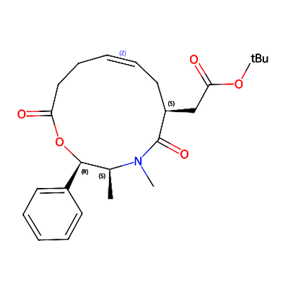 C[C@H]1[C@@H](c2ccccc2)OC(=O)CC/C=C\C[C@@H](CC(=O)OC(C)(C)C)C(=O)N1C